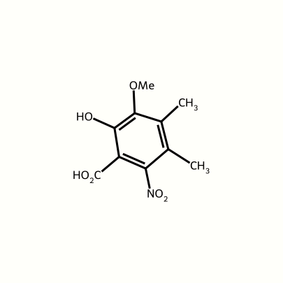 COc1c(C)c(C)c([N+](=O)[O-])c(C(=O)O)c1O